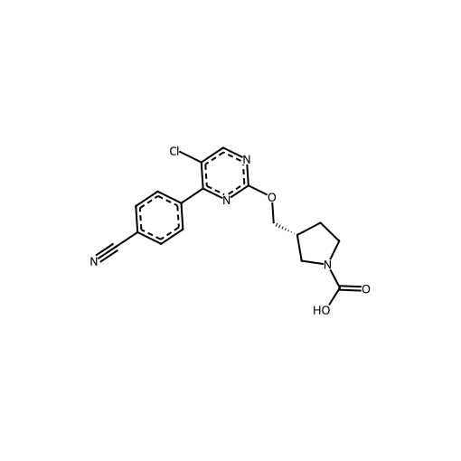 N#Cc1ccc(-c2nc(OC[C@@H]3CCN(C(=O)O)C3)ncc2Cl)cc1